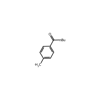 [CH2]c1ccc(C(=O)CCCC)cc1